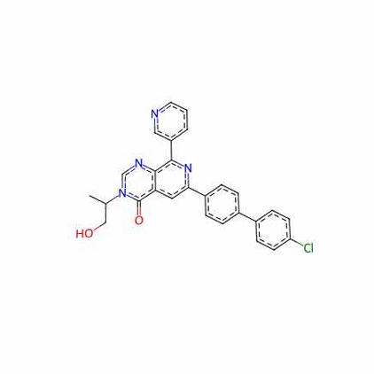 CC(CO)n1cnc2c(-c3cccnc3)nc(-c3ccc(-c4ccc(Cl)cc4)cc3)cc2c1=O